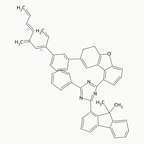 C=C/C=C/C(=C)/C=C(\C=C)c1cccc(C2=Cc3c(oc4cccc(-c5nc(-c6ccccc6)nc(-c6cccc7c6C(C)(C)c6ccccc6-7)n5)c34)CC2)c1